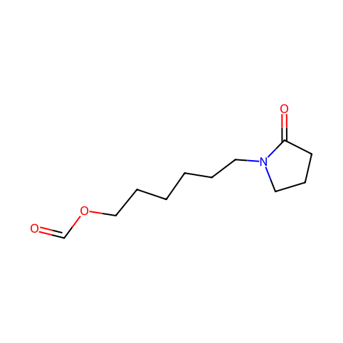 O=COCCCCCCN1CCCC1=O